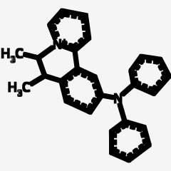 CC1c2ccc(N(c3ccccc3)c3ccccc3)cc2-c2cccc[n+]2C1C